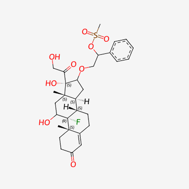 C[C@]12CCC(=O)C=C1CC[C@H]1[C@@H]3CC(OCC(OS(C)(=O)=O)c4ccccc4)[C@](O)(C(=O)CO)[C@@]3(C)CC(O)[C@@]12F